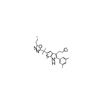 CCCc1nnc(C(C)(C)c2cc3c(CCCl)c(-c4cc(C)cc(C)c4)[nH]c3s2)o1